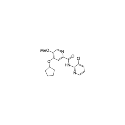 COc1cnc(C(=O)Nc2ncccc2Cl)cc1OC1CCCC1